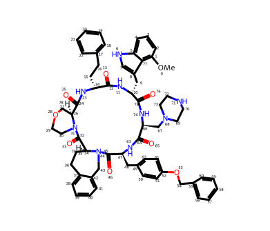 COc1cccc2[nH]cc(C[C@H]3NC(=O)[C@@H](CCc4ccccc4)NC(=O)[C@@H]4COCCN4C(=O)[C@@H]4CCc5ccccc5CN4C(=O)[C@H](Cc4ccc(OCc5ccccc5)cc4)NC(=O)[C@H](CN4CCNCC4)NC3=O)c12